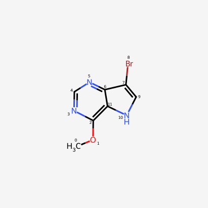 COc1ncnc2c(Br)c[nH]c12